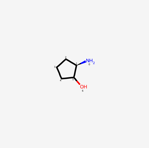 N[C@@H]1CCCC1O